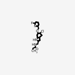 CCC(=O)NCc1cc2cc(Cl)c(OCc3cccc(F)n3)cc2[nH]1